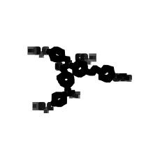 COc1ccc(C=Cc2ccc(N(Cc3ccc(C(=O)O)cc3)C(=O)c3ccc(N(C(C)=O)c4ccc(C(=O)O)cc4)cc3)c(C(=O)O)c2)cc1